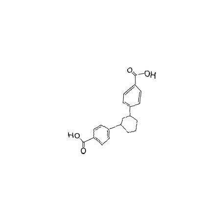 O=C(O)c1ccc(C2CCCC(c3ccc(C(=O)O)cc3)C2)cc1